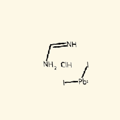 Cl.N=CN.[I][Pb][I]